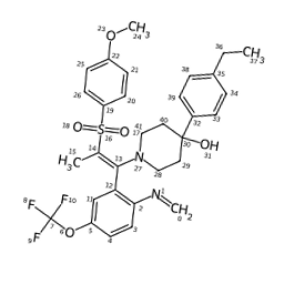 C=Nc1ccc(OC(F)(F)F)cc1/C(=C(\C)S(=O)(=O)c1ccc(OC)cc1)N1CCC(O)(c2ccc(CC)cc2)CC1